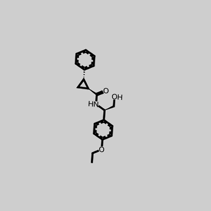 CCOc1ccc([C@H](CO)NC(=O)[C@H]2C[C@@H]2c2ccccc2)cc1